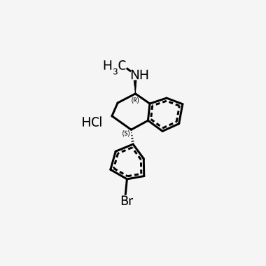 CN[C@@H]1CC[C@@H](c2ccc(Br)cc2)c2ccccc21.Cl